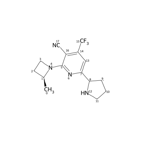 C[C@H]1CCN1c1nc(C2[CH]CCN2)cc(C(F)(F)F)c1C#N